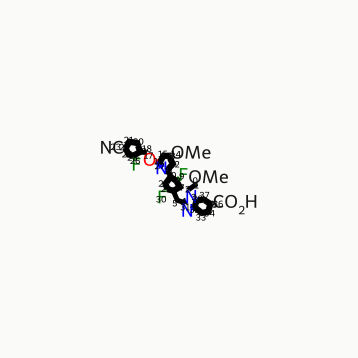 COCCn1c(Cc2cc(F)c(-c3cc(OC)cc(OCc4ccc(C#N)cc4F)n3)cc2F)nc2ccc(C(=O)O)cc21